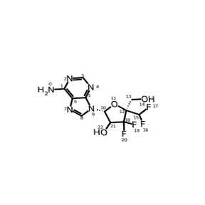 Nc1ncnc2c1ncn2[C@@H]1O[C@@](CO)(C(F)F)C(F)(F)C1O